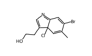 CC1=CC2(Cl)C(CCO)=CN=C2C=C1Br